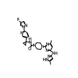 Cc1cc(Nc2cc(C)[nH]n2)nc(N2CCN(C(=O)NC3(c4ccc(-n5cc(F)cn5)nc4)CC3)CC2)n1